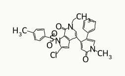 CCn1cc(-c2cc(=O)n(C)cc2-c2ccccc2)c2cc(Cl)n(S(=O)(=O)c3ccc(C)cc3)c2c1=O